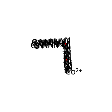 C1=NC=NC1.C1=NC=NC1.C1=NC=NC1.C1=NC=NC1.C1=NC=NC1.C1=NC=NC1.C1=NC=NC1.C1=NC=NC1.C1=NC=NC1.C1=NC=NC1.C1=NC=NC1.O=S(=O)([O-])[O-].[Co+2]